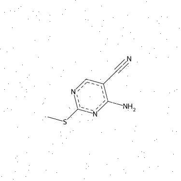 [CH2]Sc1ncc(C#N)c(N)n1